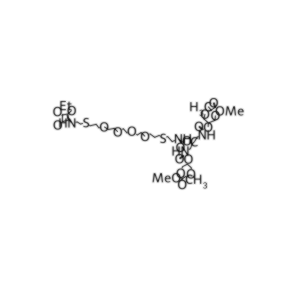 CCOc1c(NCCSCCCOCCOCCOCCOCCCSCCNC(=O)OC(CCNC(=O)OC2COC(C)(C(=O)OC)OC2)CNC(=O)OC2COC(C)(C(=O)OC)OC2)c(=O)c1=O